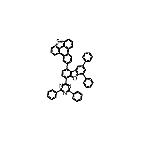 c1ccc(-c2cc(-c3ccccc3)c3oc4c(-c5nc(-c6ccccc6)nc(-c6ccccc6)n5)ccc(-c5ccc6c(c5)c5cccc7sc8cccc6c8c75)c4c3c2)cc1